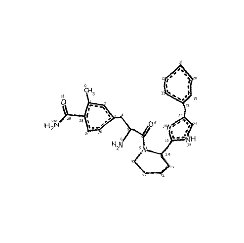 Cc1cc(CC(N)C(=O)N2CCCCC2c2nc(-c3ccccc3)c[nH]2)ccc1C(N)=O